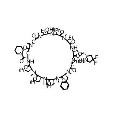 CCCCN1CC(=O)N(C)[C@@H](Cc2ccccc2)C(=O)N(C)[C@@H](CC(C)C)C(=O)N[C@@H](CC(C)C)C(=O)N(C)[C@@H](CC(C)C)C(=O)N[C@H](C(=O)N2CCCCC2)CC(=O)N(C)CC(=O)N(C)[C@@H](CC)C(O)N[C@@H](C(C)C)C(=O)N(C)[C@@H](CC)C(=O)N[C@@H](COC[C@@H]2CC(F)(F)CN2)C1=O